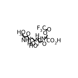 C[C@H](O)[C@H](N)C(=O)NCC(=O)N[C@@H](CO)C(=O)N[C@@H](COC(=O)C(F)(F)F)C(=O)O